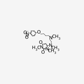 CN(CCCCOc1ccc([N+](=O)[O-])cc1)CCN(C)c1cc(=O)n(C)c(=O)n1C